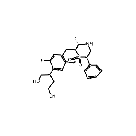 C[C@@H]1NC[C@@H](c2ccccc2)S(=O)(=O)C1Cc1cc(F)c(C(CO)CCC#N)cc1F